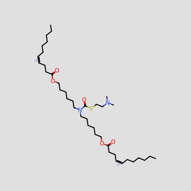 CCCCCC/C=C\CCC(=O)OCCCCCCN(CCCCCCOC(=O)CC/C=C\CCCCCC)C(=O)SCCN(C)C